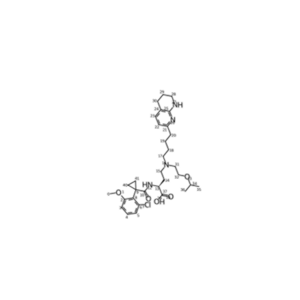 COc1cccc(Cl)c1C1(C(=O)N[C@@H](CCN(CCCCc2ccc3c(n2)NCCC3)CCOC(C)C)C(=O)O)CC1